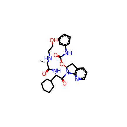 C[C@H](NCCO)C(=O)N[C@H](C(=O)N1c2ncccc2C[C@@H]1OC(=O)Nc1ccccc1)C1CCCCC1